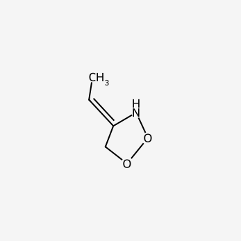 CC=C1COON1